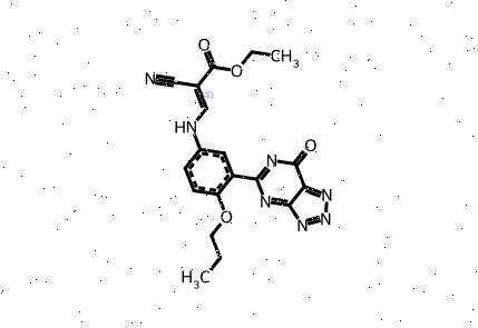 CCCOc1ccc(N/C=C(\C#N)C(=O)OCC)cc1C1=NC(=O)C2=NN=NC2=N1